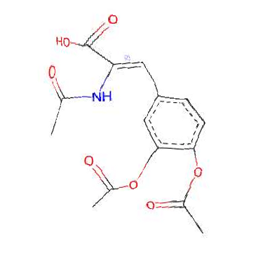 CC(=O)N/C(=C\c1ccc(OC(C)=O)c(OC(C)=O)c1)C(=O)O